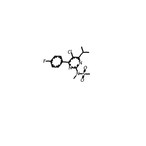 CC(C)c1nc(N(C)S(C)(=O)=O)nc(-c2ccc(F)cc2)c1Cl